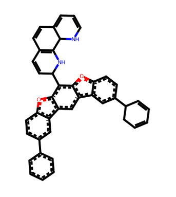 C1=CCC(c2ccc3oc4c(C5C=CC6=C(N5)C5NC=CC=C5C=C6)c5oc6ccc(-c7ccccc7)cc6c5cc4c3c2)C=C1